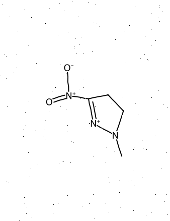 CN1CCC([N+](=O)[O-])=[N+]1